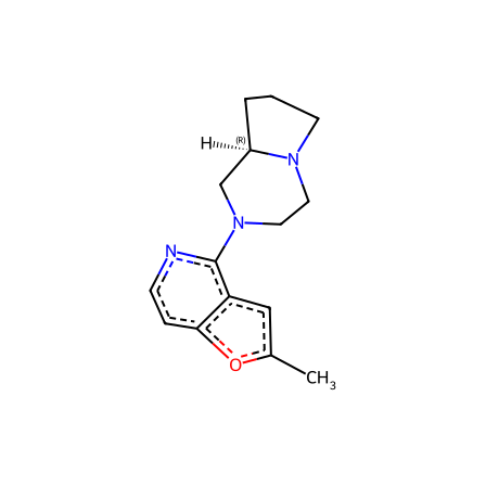 Cc1cc2c(N3CCN4CCC[C@@H]4C3)nccc2o1